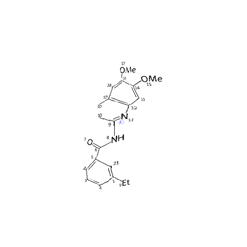 CCc1cccc(C(=O)N/C(C)=N/c2cc(OC)c(OC)cc2C)c1